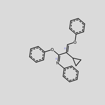 C(/Oc1ccccc1)=C(\C(=N/c1ccccc1)Oc1ccccc1)C1CC1